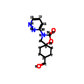 O=CC1CCC2(CC1)CN(c1cccnn1)C(=O)O2